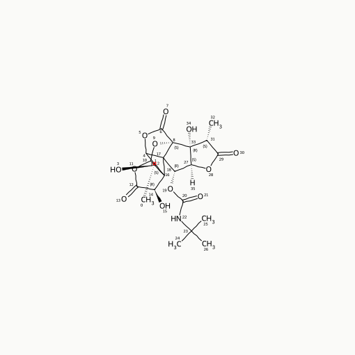 C[C@@H]1[C@@H](O)C2OC(=O)[C@]34OC5OC(=O)[C@H](O)C51C23[C@@H](OC(=O)NC(C)(C)C)[C@@H]1OC(=O)[C@@H](C)[C@@]14O